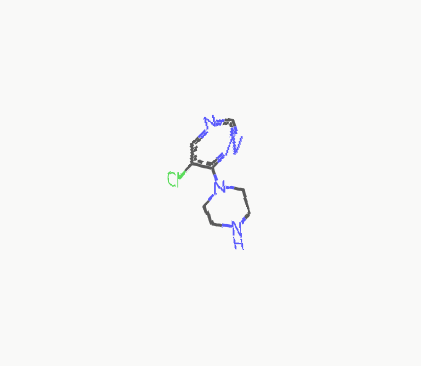 Clc1cncnc1N1CCNCC1